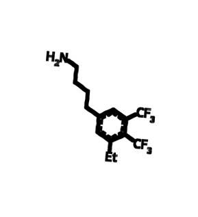 CCc1cc(CCCCN)cc(C(F)(F)F)c1C(F)(F)F